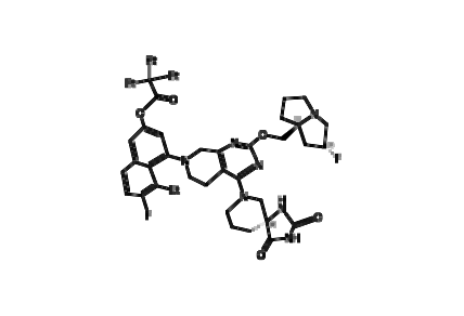 CCc1c(F)ccc2cc(OC(=O)C(CC)(CC)CC)cc(N3CCc4c(nc(OC[C@@]56CCCN5C[C@H](F)C6)nc4N4CCC[C@]5(C4)NC(=O)NC5=O)C3)c12